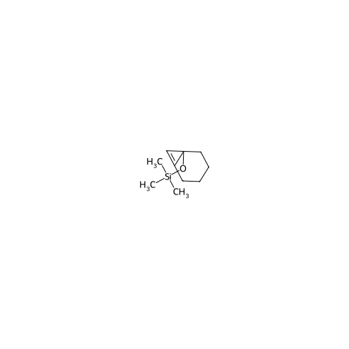 C[Si](C)(C)OC12C=C1CCCC2